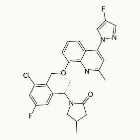 Cc1cc(-n2cc(F)cn2)c2cccc(OCc3c(Cl)cc(F)cc3[C@H](C)N3CC(C)CC3=O)c2n1